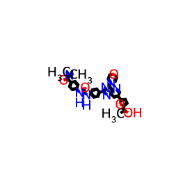 CC(O)c1ccc(-c2cnc3c(N4CCOCC4)nc(-c4ccc(NC(=O)Nc5ccc(C(=O)N(C)C)cc5)cc4)nc3c2)o1